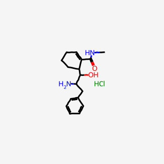 CNC(=O)C1=CCCCC1C(O)C(N)Cc1ccccc1.Cl